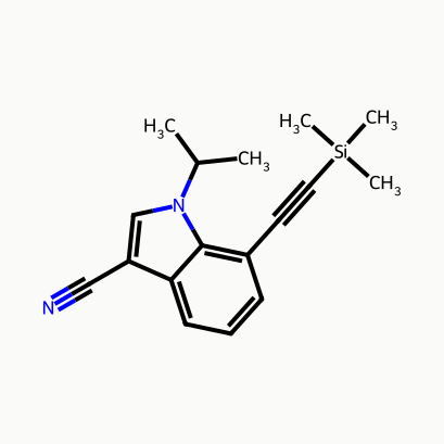 CC(C)n1cc(C#N)c2cccc(C#C[Si](C)(C)C)c21